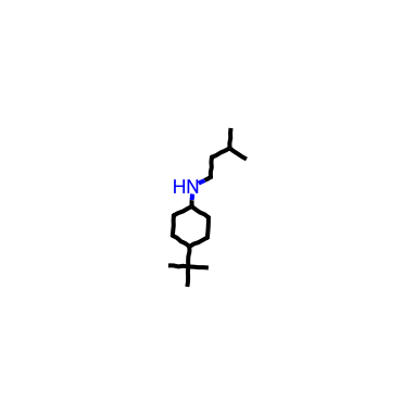 CC(C)CCNC1CCC(C(C)(C)C)CC1